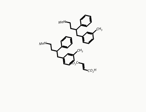 CNCCC(Cc1cccc(C)c1)c1ccccc1.CNCCC(Cc1cccc(C)c1)c1ccccc1.O=C(O)C=CC(=O)O